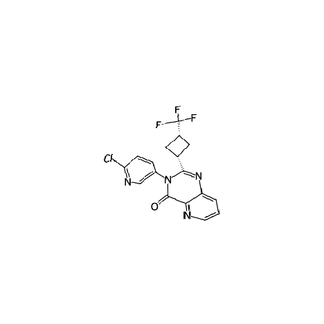 O=c1c2ncccc2nc([C@H]2C[C@@H](C(F)(F)F)C2)n1-c1ccc(Cl)nc1